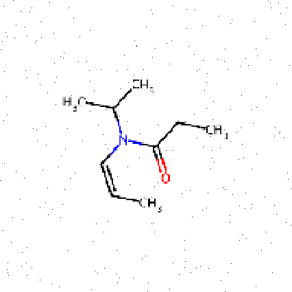 C/C=C\N(C(=O)CC)C(C)C